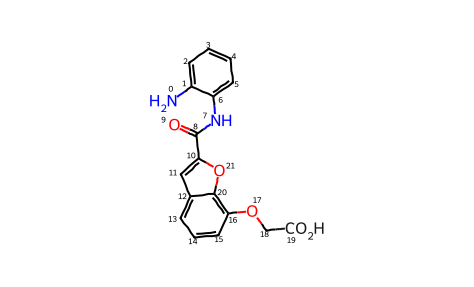 Nc1ccccc1NC(=O)c1cc2cccc(OCC(=O)O)c2o1